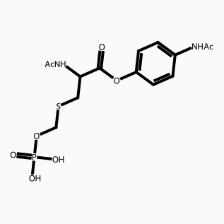 CC(=O)Nc1ccc(OC(=O)C(CSCOP(=O)(O)O)NC(C)=O)cc1